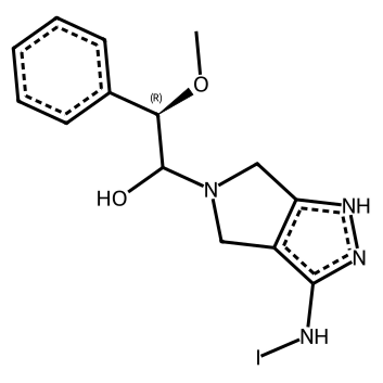 CO[C@H](c1ccccc1)C(O)N1Cc2[nH]nc(NI)c2C1